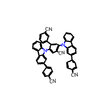 N#Cc1ccc(-c2ccc3c4ccccc4n(-c4cc(-c5cccc(C#N)c5)c(-n5c6ccccc6c6ccc(-c7ccc(C#N)cc7)cc65)cc4C#N)c3c2)cc1